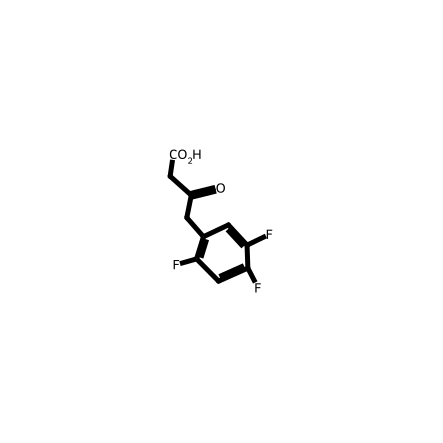 O=C(O)CC(=O)Cc1cc(F)c(F)cc1F